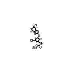 CC(C)(C)OC(=O)Nc1cc(Cl)cc(Oc2nc3cc(C#N)ccc3s2)c1